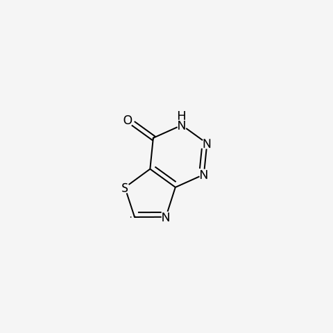 O=c1[nH]nnc2n[c]sc12